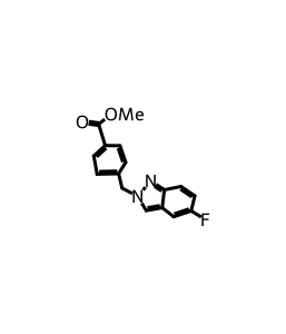 COC(=O)c1ccc(Cn2cc3cc(F)ccc3n2)cc1